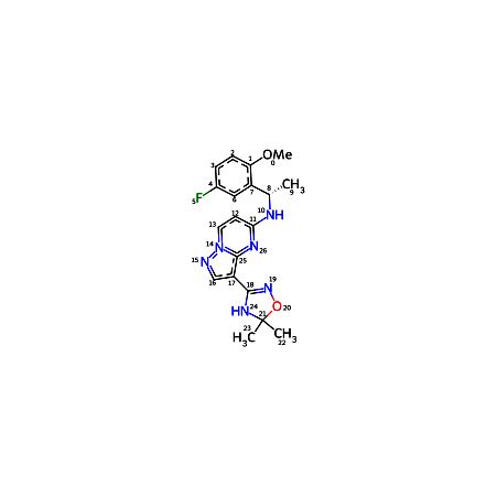 COc1ccc(F)cc1[C@H](C)Nc1ccn2ncc(C3=NOC(C)(C)N3)c2n1